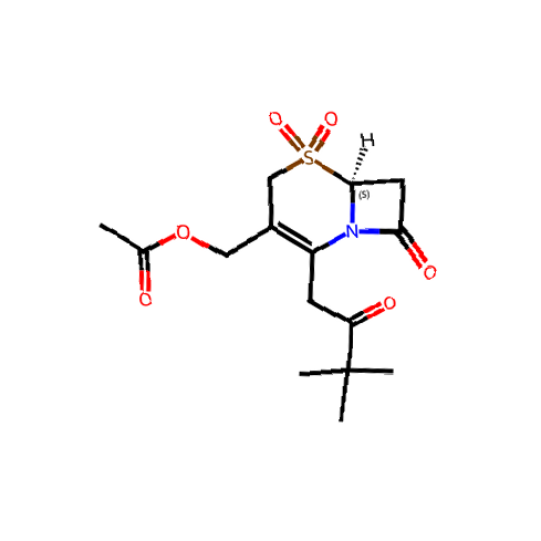 CC(=O)OCC1=C(CC(=O)C(C)(C)C)N2C(=O)C[C@@H]2S(=O)(=O)C1